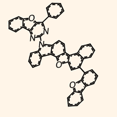 c1ccc(-c2nc(-n3c4ccccc4c4c5oc6cc(-c7cccc8c7oc7ccccc78)c7ccccc7c6c5ccc43)nc3c2oc2ccccc23)cc1